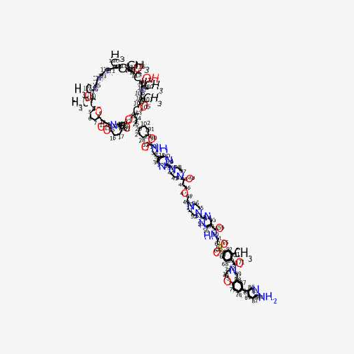 CO[C@H]1CC2CCCC(O2)C(=O)C(=O)N2CCCC[C@H]2C(=O)O[C@H](CC[C@H]2CC[C@H](OC(=O)NCc3cnc(N4CCN(C(=O)CCOCCN5CCN(c6ncc(C(=O)NCCS(=O)(=O)c7ccc(C(=O)N8CCOc9ccc(-c%10ccc(N)nc%10)cc9C8)c(C)c7)cn6)CC5)CC4)nc3)CC2)CC(=O)[C@H](C)/C=C(\C)[C@@H](O)CC(=O)[C@H](C)C[C@H](C)/C=C/C=C/C=C/1C